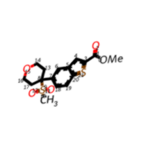 COC(=O)c1cc2cc(C3(S(C)(=O)=O)CCOCC3)ccc2s1